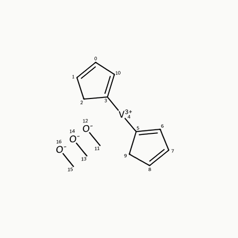 C1=CC[C]([V+3][C]2=CC=CC2)=C1.C[O-].C[O-].C[O-]